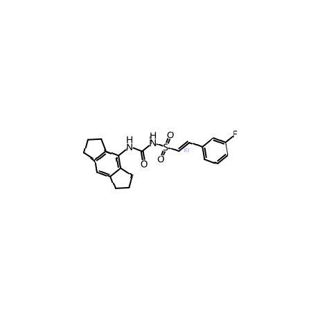 O=C(Nc1c2c(cc3c1CCC3)CCC2)NS(=O)(=O)/C=C/c1cccc(F)c1